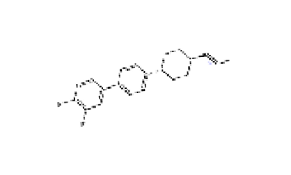 C/C=C/[C@H]1CC[C@H](c2ccc(-c3ccc(F)c(F)c3)cc2)CC1